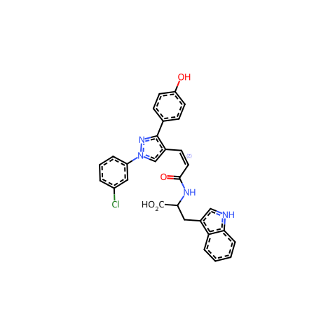 O=C(/C=C\c1cn(-c2cccc(Cl)c2)nc1-c1ccc(O)cc1)NC(Cc1c[nH]c2ccccc12)C(=O)O